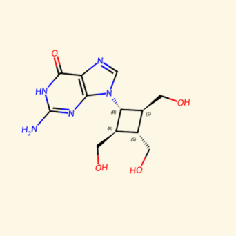 Nc1nc2c(ncn2[C@H]2[C@H](CO)[C@@H](CO)[C@@H]2CO)c(=O)[nH]1